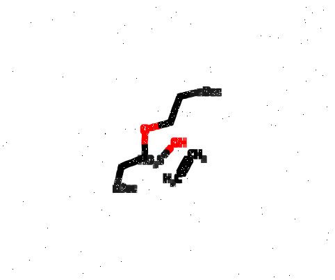 C=C.CCCCCCCCCCCCOCCCCCCCCCCCC.O=S(=O)(O)O